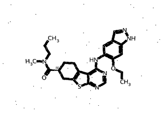 CCCN(C)C(=O)[C@H]1CCc2c(sc3ncnc(Nc4cc5cn[nH]c5cc4OCC)c23)C1